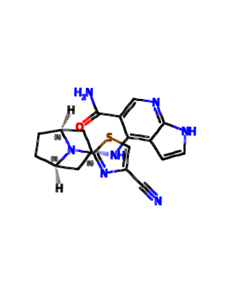 N#Cc1csc(N2[C@@H]3CC[C@H]2C[C@H](Nc2c(C(N)=O)cnc4[nH]ccc24)C3)n1